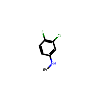 CC(C)Nc1ccc(F)c(Cl)c1